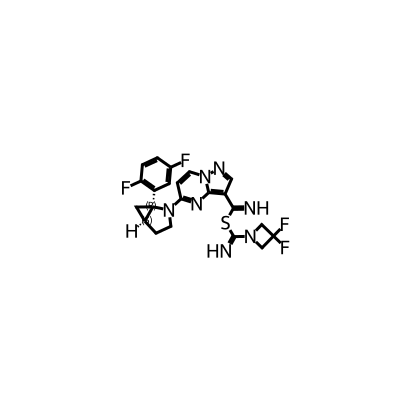 N=C(SC(=N)N1CC(F)(F)C1)c1cnn2ccc(N3CC[C@H]4C[C@]43c3cc(F)ccc3F)nc12